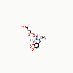 CC(Cc1ccc2c(c1)OCO2)N(C)C(=O)OCC(=O)CCC(=O)O